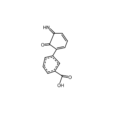 N=C1C=CC=C(c2cccc(C(=O)O)c2)C1=O